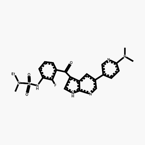 CCN(C)S(=O)(=O)Nc1cccc(C(=O)c2c[nH]c3ncc(-c4ccc(N(C)C)nc4)cc23)c1F